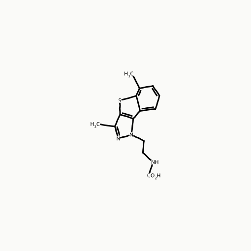 Cc1cccc2c1sc1c(C)nn(CCNC(=O)O)c12